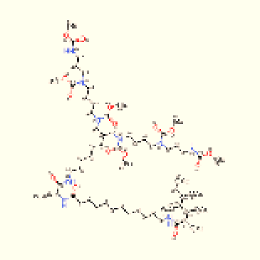 CCCCCCCCCCC(NC(=O)CCCCCCCCCCCNC(=O)[C@@H](OC(C)=O)[C@H](OC(C)=O)[C@@H](OC(C)=O)[C@@H](COC(C)=O)OC(C)=O)C(=O)NCCCCCCC(CN(CCCCN(CCCNC(=O)OC(C)(C)C)C(=O)OC(C)(C)C)C(=O)OC(C)(C)C)CN(CCCCN(CCCNC(=O)OC(C)(C)C)C(=O)OC(C)(C)C)C(=O)OC(C)(C)C